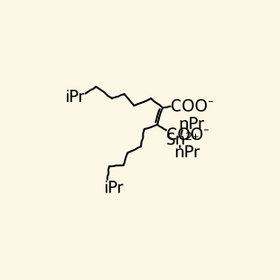 CC(C)CCCCCC(C(=O)[O-])=C(CCCCCC(C)C)C(=O)[O-].CC[CH2][Sn+2][CH2]CC